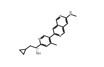 CNc1cc2cnc(-c3cnc([C@H](O)CC4CC4)cc3C)cc2cn1